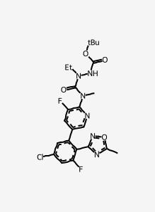 CCN(NC(=O)OC(C)(C)C)C(=O)N(C)c1ncc(-c2cc(Cl)cc(F)c2-c2noc(C)n2)cc1F